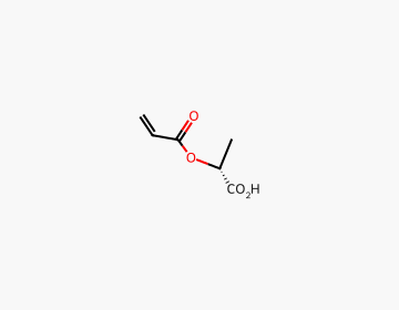 C=CC(=O)O[C@H](C)C(=O)O